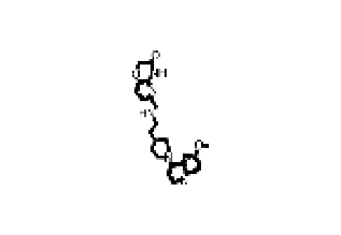 COc1ccc2nccc(N3CCC(CCNCc4ccc5c(n4)NC(=O)CO5)CC3)c2c1